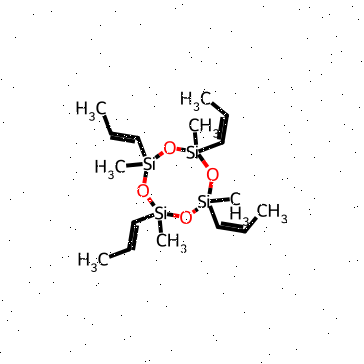 C/C=C\[Si]1(C)O[Si](C)(/C=C\C)O[Si](C)(/C=C/C)O[Si](C)(/C=C/C)O1